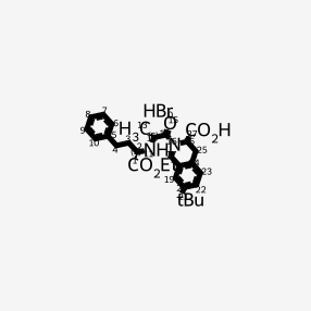 Br.CCOC(=O)[C@H](CCc1ccccc1)N[C@@H](C)C(=O)N1Cc2cc(C(C)(C)C)ccc2CC1C(=O)O